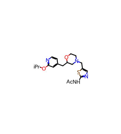 CC(=O)Nc1ncc(CN2CCOC(Cc3ccnc(OC(C)C)c3)C2)s1